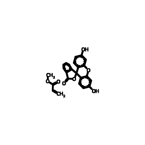 C=CC(=O)OC.O=C1OC2(c3ccc(O)cc3Oc3cc(O)ccc32)c2ccccc21